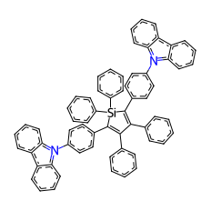 c1ccc(C2=C(c3ccc(-n4c5ccccc5c5ccccc54)cc3)[Si](c3ccccc3)(c3ccccc3)C(c3ccc(-n4c5ccccc5c5ccccc54)cc3)=C2c2ccccc2)cc1